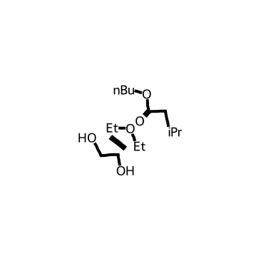 C=C.CCCCOC(=O)CC(C)C.CCOCC.OCCO